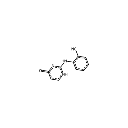 N#Cc1ccccc1Nc1nc(=O)cc[nH]1